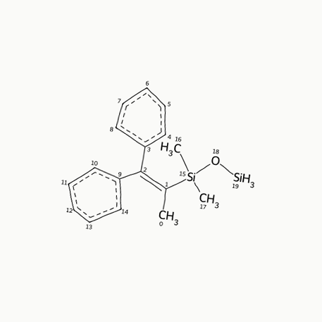 CC(=C(c1ccccc1)c1ccccc1)[Si](C)(C)O[SiH3]